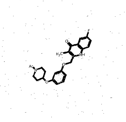 CC(=O)N1CCC(Oc2cccc(OCc3[nH]c4ccc(F)cc4c(=O)c3C)c2)CC1